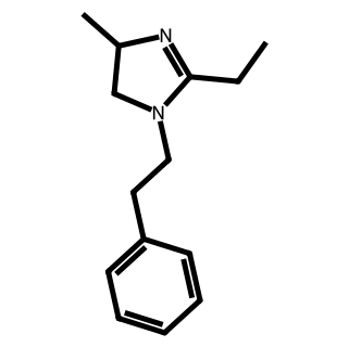 CCC1=NC(C)CN1CCc1ccccc1